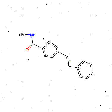 CCCNC(=O)c1ccc(/C=C/c2ccccc2)cc1